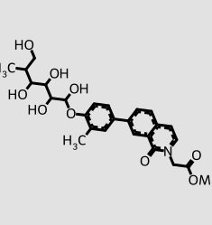 COC(=O)Cn1ccc2ccc(-c3ccc(OC(O)C(O)C(O)C(O)C(C)CO)c(C)c3)cc2c1=O